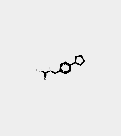 CC(=O)NCc1ccc(C2CCCC2)cc1